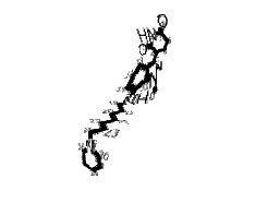 Cn1nc(C2CCC(=O)NC2=O)c2cccc(NCCCCCCCN3CCCCC3)c21